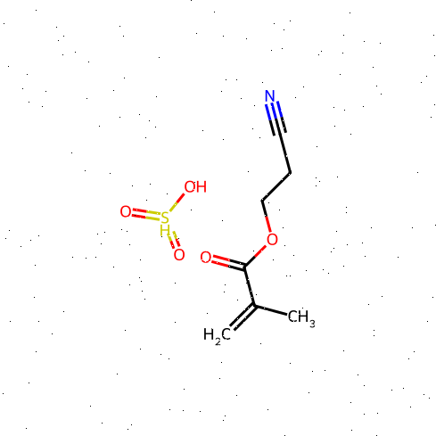 C=C(C)C(=O)OCCC#N.O=[SH](=O)O